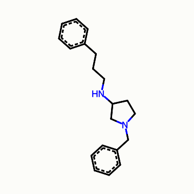 c1ccc(CCCNC2CCN(Cc3ccccc3)C2)cc1